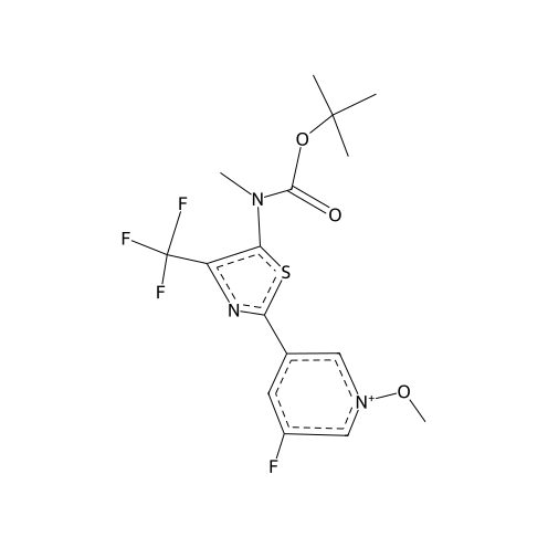 CO[n+]1cc(F)cc(-c2nc(C(F)(F)F)c(N(C)C(=O)OC(C)(C)C)s2)c1